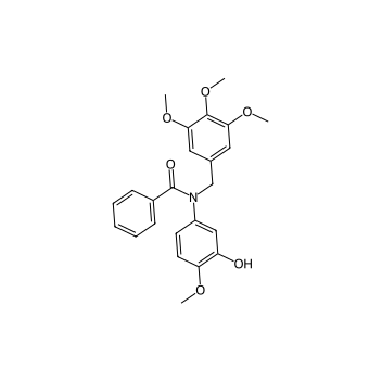 COc1ccc(N(Cc2cc(OC)c(OC)c(OC)c2)C(=O)c2ccccc2)cc1O